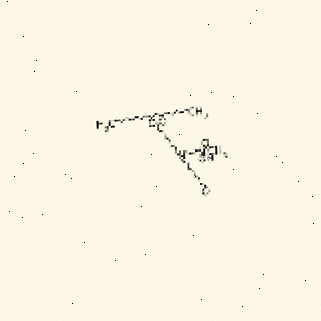 CCCCCCCCC(CCCCCCCC)OC(=O)CCCCCCCN(CCCCCCCC=O)CCCN(O)C(C)=O